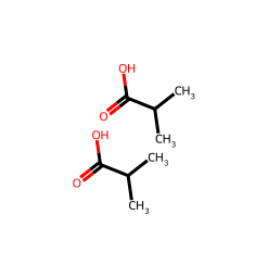 CC(C)C(=O)O.CC(C)C(=O)O